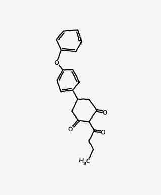 CCCC(=O)C1C(=O)CC(c2ccc(Oc3ccccc3)cc2)CC1=O